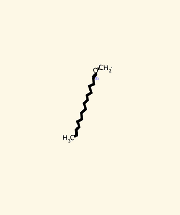 [CH2]O/C=C/CCCCCCCCCCCCCC